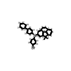 CC1(C)c2cccc3ccc4cc(N(c5ccc(Br)cc5)c5ccc(-c6ccccc6)cc5)cc1c4c23